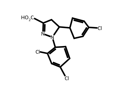 O=C(O)C1=NN(c2ccc(Cl)cc2Cl)C(C2C=CC(Cl)=CC2)C1